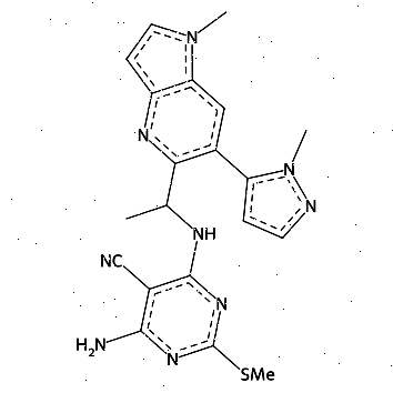 CSc1nc(N)c(C#N)c(NC(C)c2nc3ccn(C)c3cc2-c2ccnn2C)n1